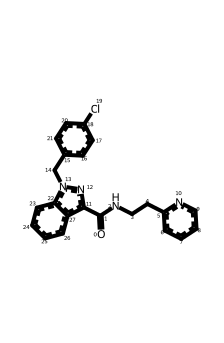 O=C(NCCc1ccccn1)c1nn(Cc2ccc(Cl)cc2)c2ccccc12